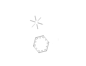 F[P-](F)(F)(F)(F)F.S.[H+].c1ccccc1